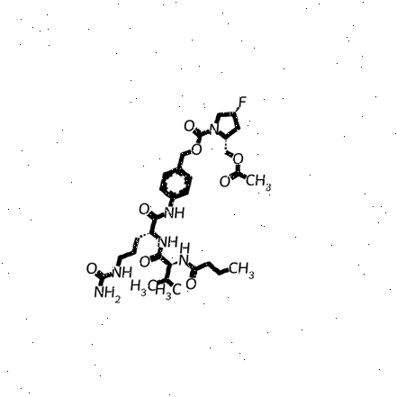 CCCC(=O)N[C@@H](C(=O)N[C@H](CCCNC(N)=O)C(=O)Nc1ccc(COC(=O)N2C[C@H](F)C[C@@H]2COC(C)=O)cc1)C(C)C